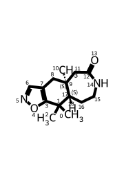 CC1(C)c2oncc2C[C@@]2(C)CC(=O)NCC[C@H]12